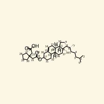 CC(C)CCC[C@@H](C)[C@H]1CC[C@H]2[C@@H]3CC=C4CC(OC(=O)CC5(CC(=O)O)CCCC5)CC[C@]4(C)[C@H]3CC[C@]12C